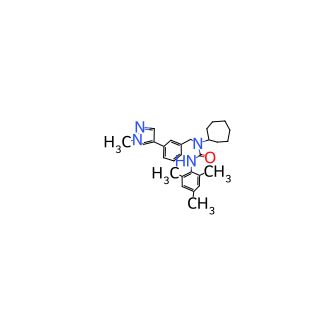 Cc1cc(C)c(NC(=O)N(Cc2cccc(-c3cnn(C)c3)c2)C2CCCCCC2)c(C)c1